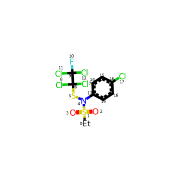 CCS(=O)(=O)N(SC(Cl)(Cl)C(F)(Cl)Cl)c1ccc(Cl)cc1